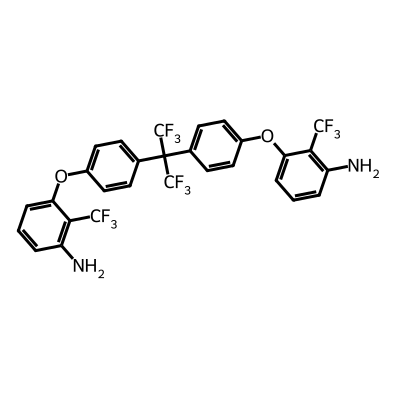 Nc1cccc(Oc2ccc(C(c3ccc(Oc4cccc(N)c4C(F)(F)F)cc3)(C(F)(F)F)C(F)(F)F)cc2)c1C(F)(F)F